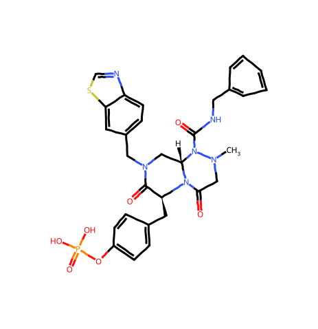 CN1CC(=O)N2[C@@H](Cc3ccc(OP(=O)(O)O)cc3)C(=O)N(Cc3ccc4ncsc4c3)C[C@@H]2N1C(=O)NCc1ccccc1